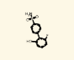 NS(=O)(=O)c1ccc(-c2c(O)cccc2F)cc1